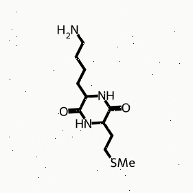 CSCCC1NC(=O)C(CCCCN)NC1=O